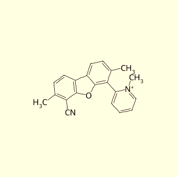 Cc1ccc2c(oc3c(-c4cccc[n+]4C)c(C)ccc32)c1C#N